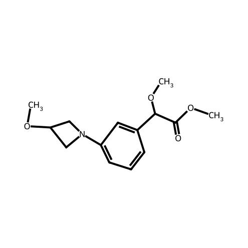 COC(=O)C(OC)c1cccc(N2CC(OC)C2)c1